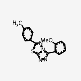 COc1ccccc1-c1nnc2sc(-c3ccc(C)cc3)nn12